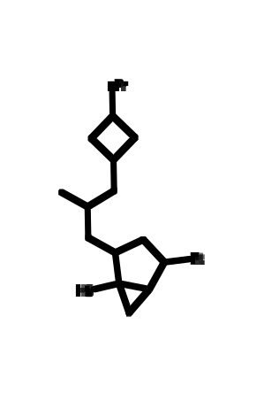 CCCC1CC(CC(C)CC2CC(CC)C3CC23S)C1